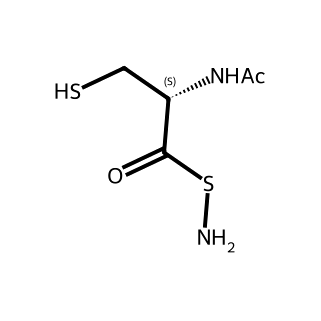 CC(=O)N[C@@H](CS)C(=O)SN